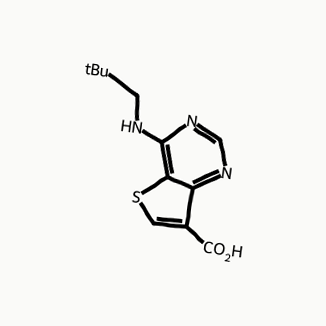 CC(C)(C)CNc1ncnc2c(C(=O)O)csc12